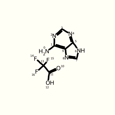 Nc1ncnc2[nH]cnc12.O=C(O)C(F)(F)F